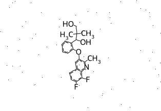 Cc1nc2c(F)c(F)ccc2cc1Oc1ccccc1C(O)C(C)(C)CO